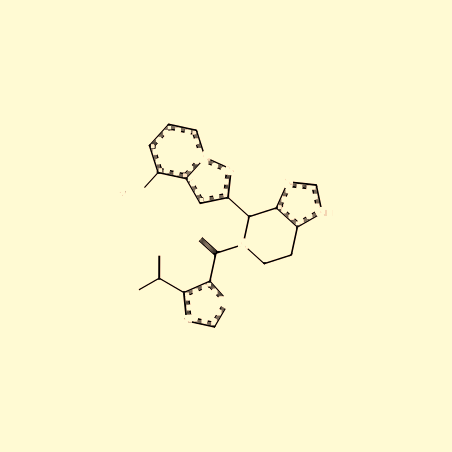 COc1cccn2nc(C3c4nc[nH]c4CCN3C(=O)c3ocnc3C(F)F)cc12